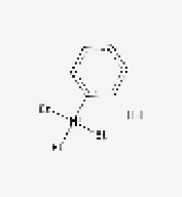 CC[N+](CC)(CC)c1ccccc1.[LiH]